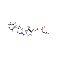 COC(=O)CCCCc1ccc(CN2CCN(c3ccncc3)CC2)cc1